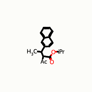 CC(=O)C(C(=O)OC(C)C)C(C)c1ccc2ccccc2c1